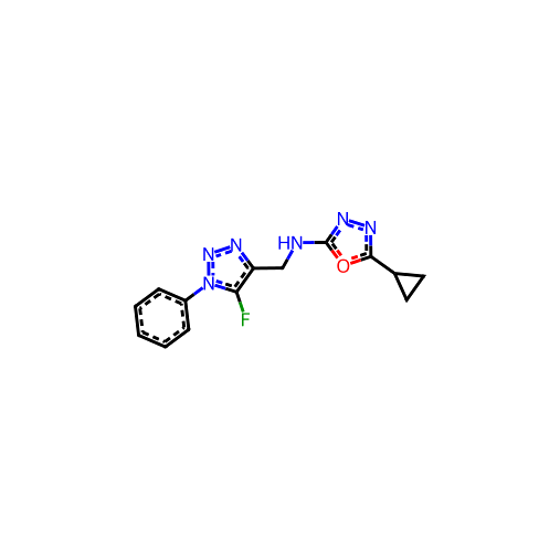 Fc1c(CNc2nnc(C3CC3)o2)nnn1-c1ccccc1